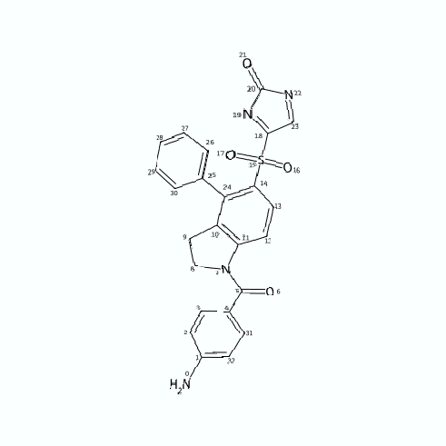 Nc1ccc(C(=O)N2CCc3c2ccc(S(=O)(=O)C2=NC(=O)N=C2)c3-c2ccccc2)cc1